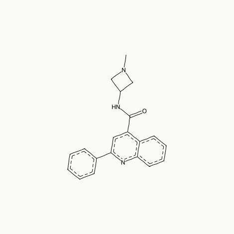 CN1CC(NC(=O)c2cc(-c3ccccc3)nc3ccccc23)C1